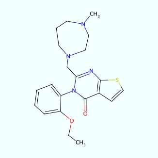 CCOc1ccccc1-n1c(CN2CCCN(C)CC2)nc2sccc2c1=O